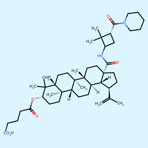 C=C(C)[C@@H]1CC[C@]2(C(=O)NC3C[C@@H](C(=O)N4CCCCC4)C3(C)C)CC[C@]3(C)[C@H](CC[C@@H]4[C@@]5(C)CC[C@H](OC(=O)CCCC(=O)O)C(C)(C)[C@@H]5CC[C@]43C)[C@@H]12